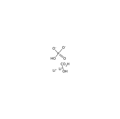 O=C(O)O.O=P([O-])([O-])O.[Li+].[Li+]